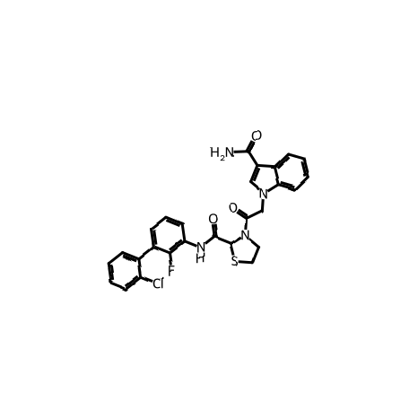 NC(=O)c1cn(CC(=O)N2CCSC2C(=O)Nc2cccc(-c3ccccc3Cl)c2F)c2ccccc12